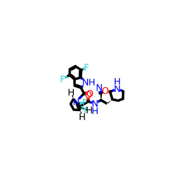 N#C[C@@H](C[C@H]1CCCNC1=O)NC(=O)[C@H]1[C@H]2CC[C@H](CC2(F)F)N1C(=O)c1cc2c(F)ccc(F)c2[nH]1